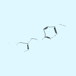 NCC(=CF)COc1ccc(SF)cc1